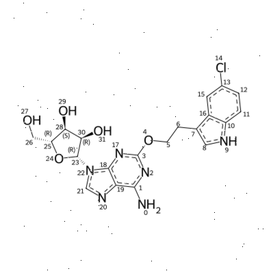 Nc1nc(OCCc2c[nH]c3ccc(Cl)cc23)nc2c1ncn2[C@@H]1O[C@H](CO)[C@@H](O)[C@H]1O